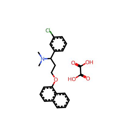 CN(C)C(CCOc1cccc2ccccc12)c1cccc(Cl)c1.O=C(O)C(=O)O